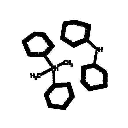 C[PH](C)(c1ccccc1)c1ccccc1.c1ccc(Pc2ccccc2)cc1